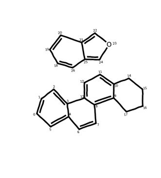 c1ccc2c(c1)ccc1c3c(ccc12)CCCC3.c1ccc2cocc2c1